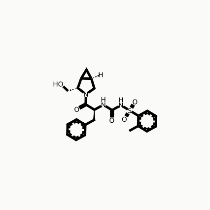 Cc1ccccc1S(=O)(=O)NC(=O)N[C@@H](Cc1ccccc1)C(=O)N1C[C@@H]2CC2[C@H]1CO